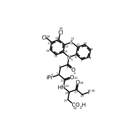 CC(C)C(CC(=O)N1c2ccccc2Sc2c1ccc(Cl)c2Cl)C(=O)NC(CC(=O)O)C(=O)CF